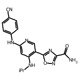 CC(C)Nc1cc(Nc2ccc(C#N)cc2)ncc1-c1nc(C(N)=O)no1